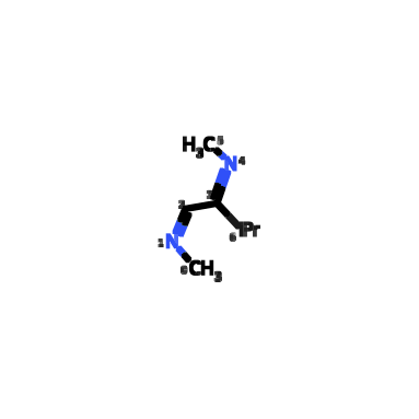 C/N=C\C(=N/C)C(C)C